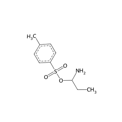 CCC(N)OS(=O)(=O)c1ccc(C)cc1